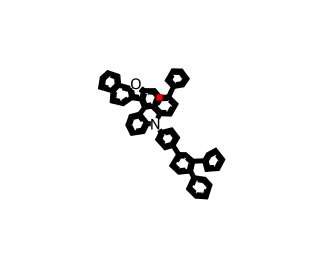 c1ccc(-c2ccc(N(c3ccc(-c4ccc(-c5ccccc5)c(-c5ccccc5)c4)cc3)c3ccccc3-c3cccc4oc5c6ccccc6ccc5c34)cc2)cc1